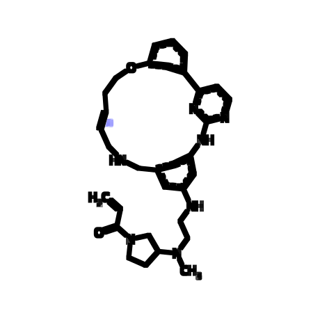 C=CC(=O)N1CCC(N(C)CCNc2cc3cc(c2)Nc2nccc(n2)-c2cccc(c2)OCC/C=C/CNC3)C1